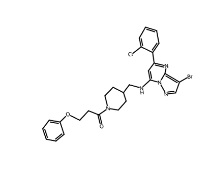 O=C(CCOc1ccccc1)N1CCC(CNc2cc(-c3ccccc3Cl)nc3c(Br)cnn23)CC1